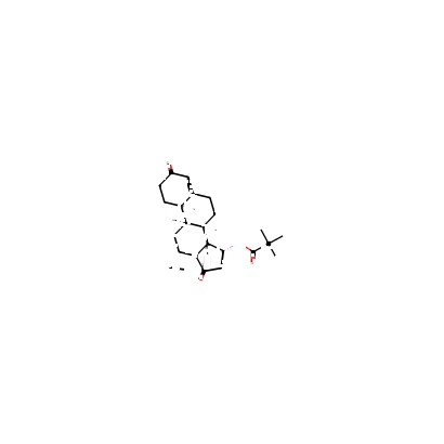 CC[C@]12CC[C@H]3[C@@H](CCC4=CC(=O)CC[C@@H]43)[C@@H]1[C@@H](OC(=O)C(C)(C)C)CC2=O